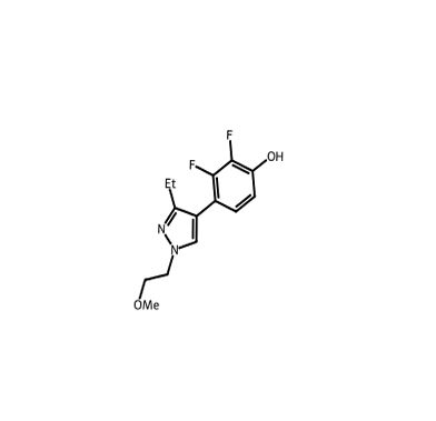 CCc1nn(CCOC)cc1-c1ccc(O)c(F)c1F